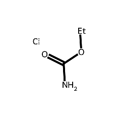 CCOC(N)=O.[C]